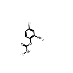 CCNC(=O)Oc1ccc(Cl)cc1[N+](=O)[O-]